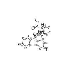 CCC(=O)[C@@H]1[C@@H]2CCC(C[C@H]1OC(c1ccc(F)cc1)c1ccc(F)cc1)N2